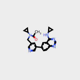 CC(=O)N(Cc1cncc(-c2ccc3ncnc(NC4CC4)c3c2)c1)C1CC1